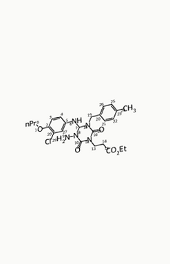 CCCOc1ccc(NC2N(N)C(=O)N(CCC(=O)OCC)C(=O)N2Cc2ccc(C)cc2)cc1Cl